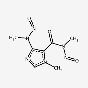 CN(N=O)C(=O)c1c(N(C)N=O)ncn1C